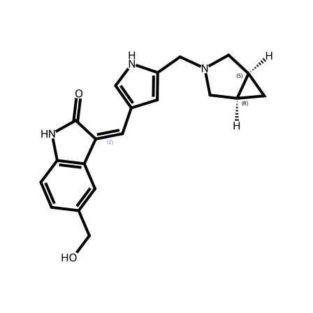 O=C1Nc2ccc(CO)cc2/C1=C/c1c[nH]c(CN2C[C@H]3C[C@H]3C2)c1